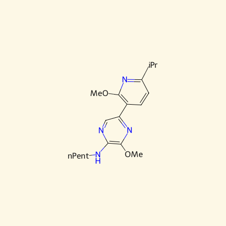 CCCCCNc1ncc(-c2ccc(C(C)C)nc2OC)nc1OC